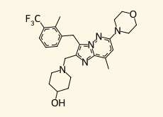 Cc1c(Cc2c(CN3CCC(O)CC3)nc3c(C)cc(N4CCOCC4)nn23)cccc1C(F)(F)F